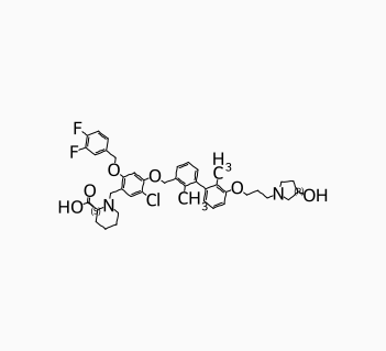 Cc1c(COc2cc(OCc3ccc(F)c(F)c3)c(CN3CCCC[C@H]3C(=O)O)cc2Cl)cccc1-c1cccc(OCCCN2CC[C@@H](O)C2)c1C